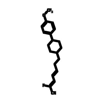 N#CC(F)=CC=CCCC1CCC(c2ccc(OC(F)(F)F)cc2)CC1